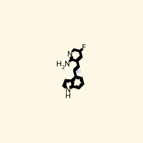 NC1=NCC(F)C=C1/C=C/c1cccc2[nH]ccc12